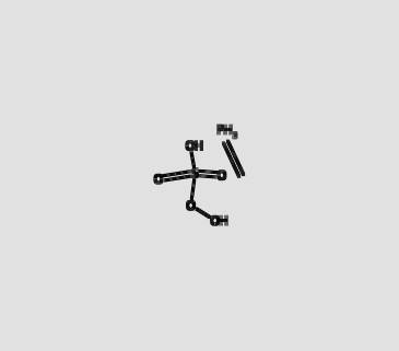 C=C.O=S(=O)(O)OO.P